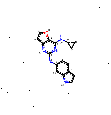 c1cc2ccc(Nc3nc(NC4CC4)c4occc4n3)cc2[nH]1